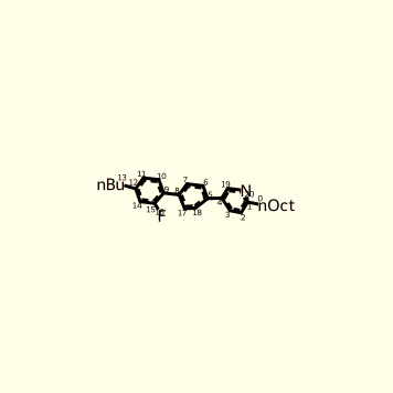 CCCCCCCCc1ccc(-c2ccc(-c3ccc(CCCC)cc3F)cc2)cn1